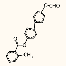 Cc1ccccc1C(=O)Oc1ccc(-c2ccc(OC=O)cc2)cc1